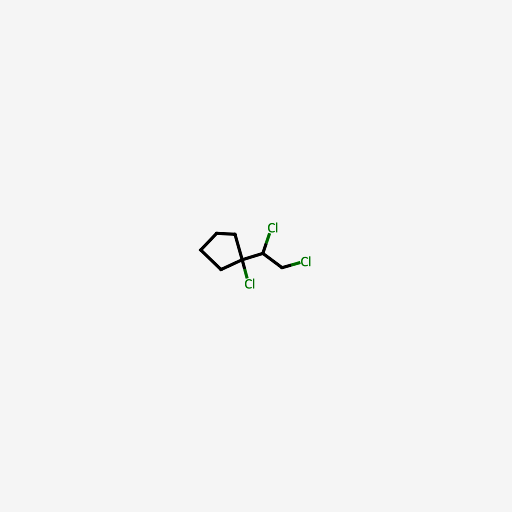 ClCC(Cl)C1(Cl)CCCC1